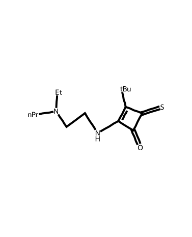 CCCN(CC)CCNc1c(C(C)(C)C)c(=S)c1=O